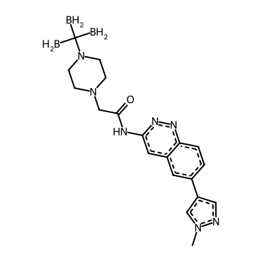 BC(B)(B)N1CCN(CC(=O)Nc2cc3cc(-c4cnn(C)c4)ccc3nn2)CC1